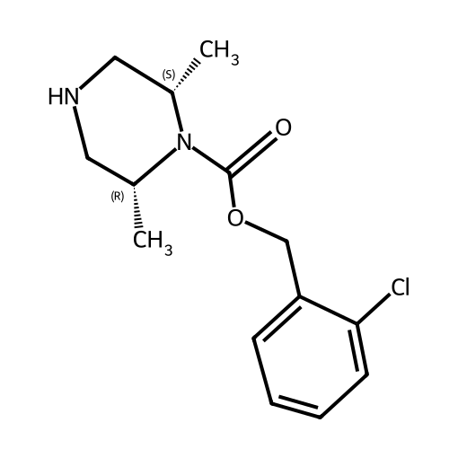 C[C@@H]1CNC[C@H](C)N1C(=O)OCc1ccccc1Cl